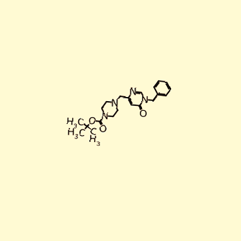 CC(C)(C)OC(=O)N1CCN(Cc2cc(=O)n(Cc3ccccc3)cn2)CC1